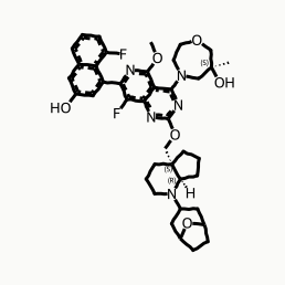 COc1nc(-c2cc(O)cc3cccc(F)c23)c(F)c2nc(OC[C@]34CCC[C@H]3N(C3CC5CCC(C3)O5)CCC4)nc(N3CCOC[C@@](C)(O)C3)c12